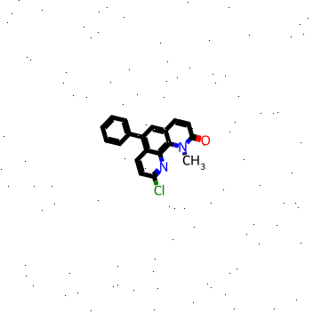 Cn1c(=O)ccc2cc(-c3ccccc3)c3ccc(Cl)nc3c21